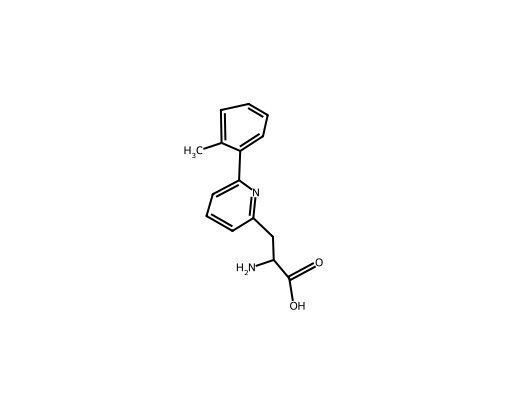 Cc1ccccc1-c1cccc(CC(N)C(=O)O)n1